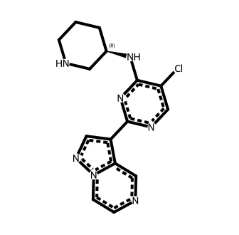 Clc1cnc(-c2cnn3ccncc23)nc1N[C@@H]1CCCNC1